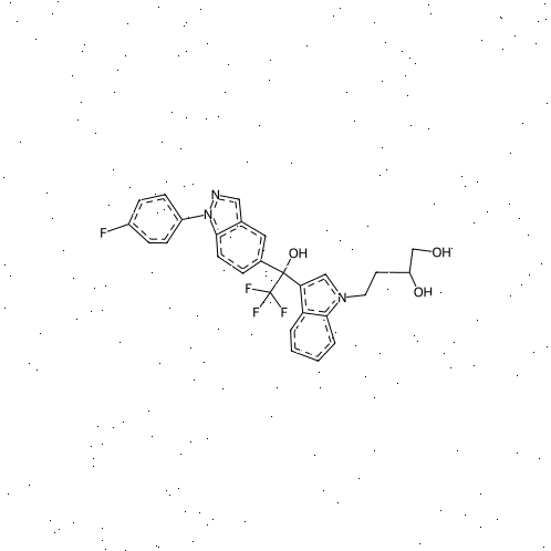 OCC(O)CCn1cc(C(O)(c2ccc3c(cnn3-c3ccc(F)cc3)c2)C(F)(F)F)c2ccccc21